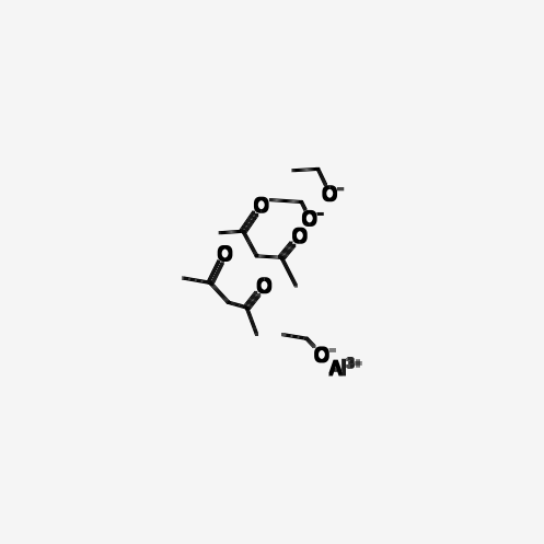 CC(=O)CC(C)=O.CC(=O)CC(C)=O.CC[O-].CC[O-].CC[O-].[Al+3]